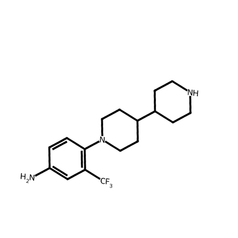 Nc1ccc(N2CCC(C3CCNCC3)CC2)c(C(F)(F)F)c1